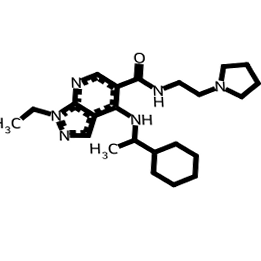 CCn1ncc2c(NC(C)C3CCCCC3)c(C(=O)NCCN3CCCC3)cnc21